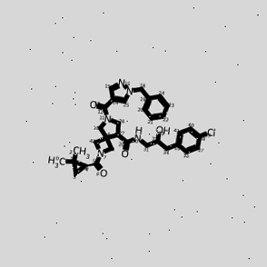 CC1(C)C[C@@H]1C(=O)N1CC2(CN(C(=O)c3cnn(Cc4ccccc4)c3)CC2C(=O)NCC(O)Cc2ccc(Cl)cc2)C1